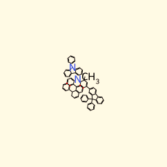 CC1C=C(c2ccc3c(c2)C(c2ccccc2)(c2ccccc2)c2ccccc2-3)C=CC1N(c1ccccc1-c1cccc2c1C(c1ccccc1)CC=C2)c1cccc2c1c1ccccc1n2-c1ccccc1